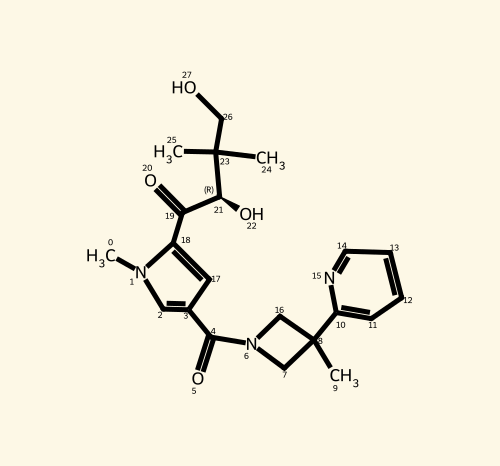 Cn1cc(C(=O)N2CC(C)(c3ccccn3)C2)cc1C(=O)[C@H](O)C(C)(C)CO